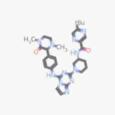 CN1CCN(C)C(c2ccc(Nc3nc(N4CCC[C@H](NC(=O)c5cnc(C(C)(C)C)cn5)C4)nc4nccn34)cc2)C1=O